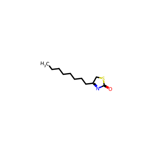 CCCCCCCCC1=NC(=O)SC1